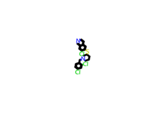 Clc1ccc(CN2CCCC(Sc3cc4ccncc4cc3Cl)C2)c(Cl)c1